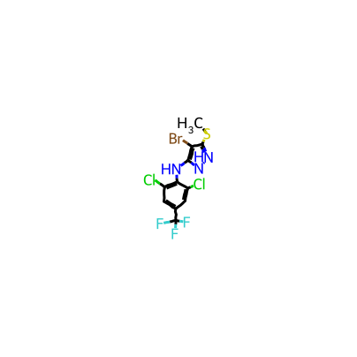 CSc1n[nH]c(Nc2c(Cl)cc(C(F)(F)F)cc2Cl)c1Br